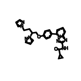 O=C(Nc1nc2cccc(-c3ccc(OCC(CCn4cccn4)n4cccn4)cc3)n2n1)C1CC1